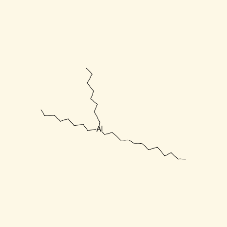 CCCCCCCCCCC[CH2][Al]([CH2]CCCCCCC)[CH2]CCCCCCC